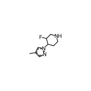 Cc1cnn(C2CCNCC2F)c1